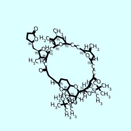 C=C1C[C@@H]2CCC(=O)/C=C/[C@H](O[Si](C)(C)C(C)(C)C)[C@@H]3OC4CC[C@H](CC(=O)C[C@@H]5[C@@H](C)[C@@H](C[C@H]6CCC(=O)O6)O[C@H]5C[C@H]5O[C@@H](CC[C@@H]1O2)C[C@@H](C)C5=C)O[C@@H]4[C@H](C)[C@@H]3O[Si](C)(C)C(C)(C)C